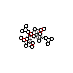 c1ccc(-c2cc3c4c(c2)N(c2c(-c5ccccc5)cccc2-c2ccccc2)c2ccccc2B4c2cc4c(cc2N3c2ccc3c5ccccc5c5ccccc5c3c2)N(c2c(-c3ccccc3)cccc2-c2ccccc2)c2cc(-c3ccccc3)cc3c2B4c2ccccc2N3c2ccc3c4ccccc4c4ccccc4c3c2)cc1